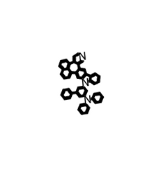 c1ccc(-c2cc(N(c3ccccc3)c3ccccc3)cc(-n3c4ccccc4c4cc5c(cc43)-c3cccc4cccc(c34)-c3ccncc3-5)c2)cc1